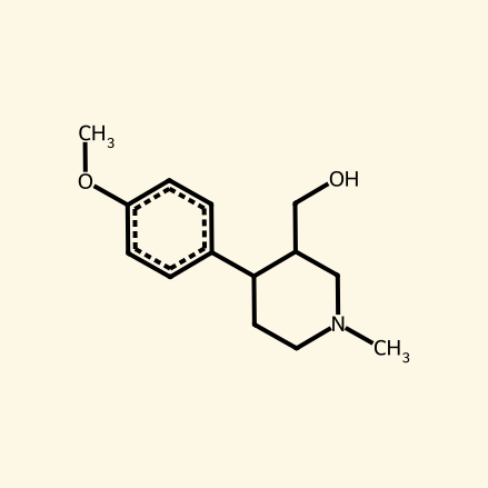 COc1ccc(C2CCN(C)CC2CO)cc1